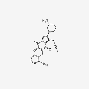 CC#CCn1c(N2CCC[C@@H](N)C2)cc2c1c(=O)n(Cc1ccccc1C#N)c(=O)n2C